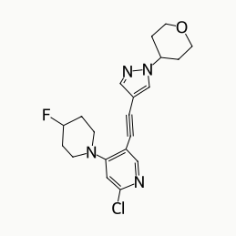 FC1CCN(c2cc(Cl)ncc2C#Cc2cnn(C3CCOCC3)c2)CC1